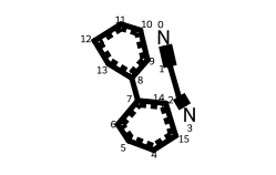 N#CC#N.c1ccc(-c2ccccc2)cc1